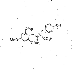 COc1cc(OC)c(CN[C@@H](Cc2ccc(O)cc2)C(=O)O)c(OC)c1